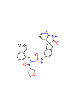 CNCc1ccccc1CN(CC(=O)Nc1ccc2c(c1)CC1(C2)C(=O)Nc2ncccc21)C(=O)C1CCOC1